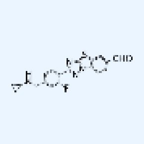 O=Cc1ccc2c(c1)sc1nc(-c3ccc(CNC4CC4)cc3F)nn12